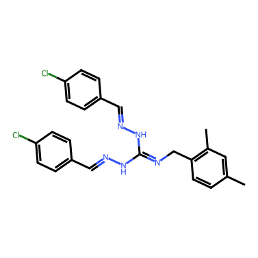 Cc1ccc(CN=C(NN=Cc2ccc(Cl)cc2)NN=Cc2ccc(Cl)cc2)c(C)c1